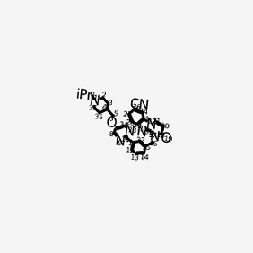 CC(C)N1CCC(COc2cnc(-c3cccc(Cn4c(=O)ccn5c6cc(C#N)ccc6nc45)c3)nc2)CC1